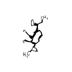 CCC(=O)c1ccc(OC)c(F)c1F